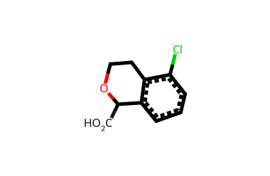 O=C(O)C1OCCc2c(Cl)cccc21